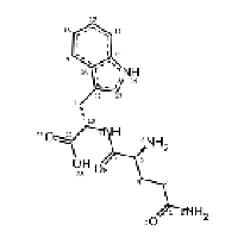 NC(=O)CC[C@H](N)C(=O)N[C@@H](Cc1c[nH]c2ccccc12)C(=O)O